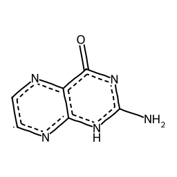 Nc1nc(=O)c2nc[c]nc2[nH]1